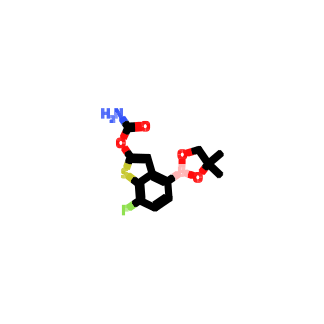 CC1(C)COB(c2ccc(F)c3sc(OC(N)=O)cc23)O1